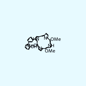 COc1c2nc(cc3cc(-c4cccc(-c5ccccc5O)c4)c([nH]3)c(OC)c3nc(c(OC)c4ccc1[nH]4)C=C3)C=C2